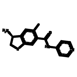 Cc1cc2c(cc1C(=O)Nc1ccncc1)SC[C@H]2N